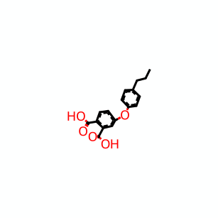 CCCc1ccc(Oc2ccc(C(=O)O)c(C(=O)O)c2)cc1